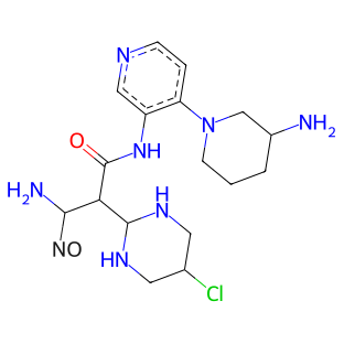 NC1CCCN(c2ccncc2NC(=O)C(C(N)N=O)C2NCC(Cl)CN2)C1